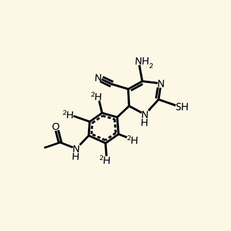 [2H]c1c([2H])c(C2NC(S)=NC(N)=C2C#N)c([2H])c([2H])c1NC(C)=O